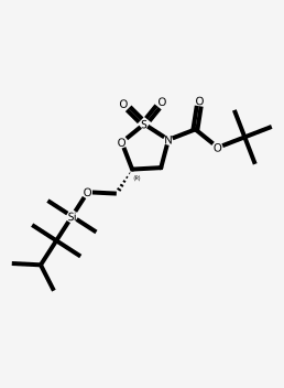 CC(C)C(C)(C)[Si](C)(C)OC[C@H]1CN(C(=O)OC(C)(C)C)S(=O)(=O)O1